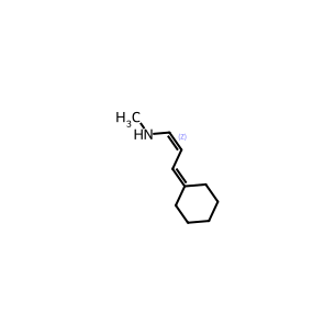 CN/C=C\C=C1CCCCC1